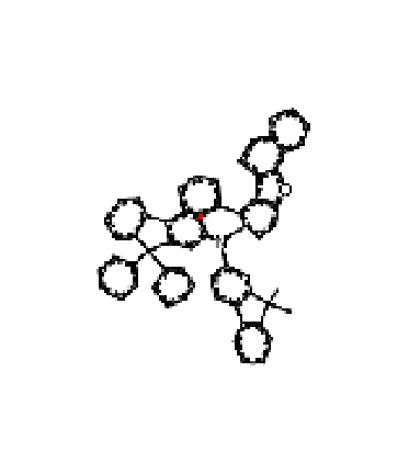 CC1(C)c2ccccc2-c2ccc(N(c3ccc4c(c3)C(c3ccccc3)(c3ccccc3)c3ccccc3-4)c3ccc4oc5c6ccccc6ccc5c4c3-c3ccccc3)cc21